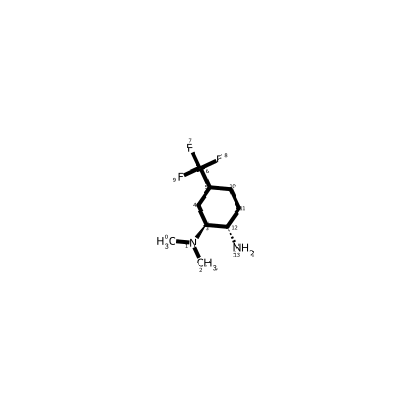 CN(C)[C@H]1CC(C(F)(F)F)CC[C@@H]1N